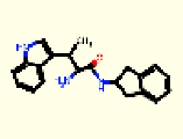 CC(c1c[nH]c2ccccc12)C(N)C(=O)NC1Cc2ccccc2C1